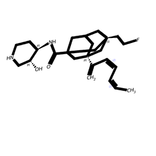 C=C(/C=C\C=C/C)[C@]12CC3CC(C(=O)N[C@@H]4CCNC[C@H]4O)(C[C@](CCF)(C3)C1)C2